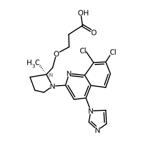 C[C@@]1(COCCC(=O)O)CCCN1c1cc(-n2ccnc2)c2ccc(Cl)c(Cl)c2n1